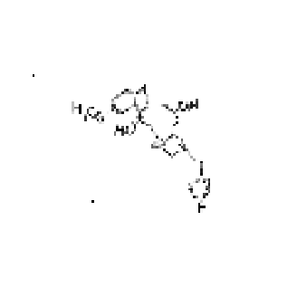 COc1ccc2nccc([C@H](O)CC[C@@H]3CCN(CCCc4ccc(F)cc4)C[C@H]3CCC(=O)O)c2c1